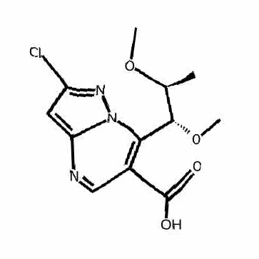 CO[C@@H](C)[C@H](OC)c1c(C(=O)O)cnc2cc(Cl)nn12